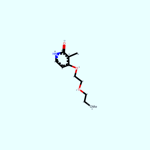 COCCOCCOc1cc[nH]c(=O)c1C